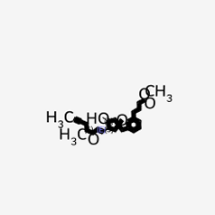 CC#CC[C@H](C)C(=O)/C=C/[C@@H]1CC2(Cc3cccc(CCCC(=O)OC)c3O2)C[C@H]1O